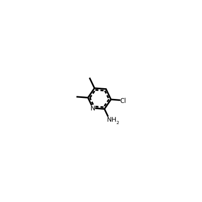 Cc1cc(Cl)c(N)nc1C